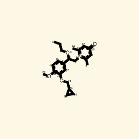 CCCOC(Cn1c(C)cc(=O)cc1C)c1ccc(OC)c(OCC2CC2)c1